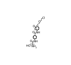 CC(N)(CO)C(=O)Nc1ccc(C(=O)Nc2ccn(CCOCCCl)c(=O)n2)cc1